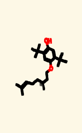 CC(C)=CCC[C@H](C)CCOc1cc(C(C)(C)C)c(O)cc1C(C)(C)C